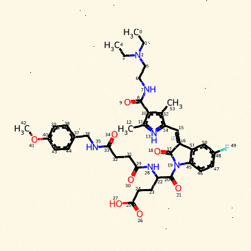 CCN(CC)CCNC(=O)c1c(C)[nH]c(/C=C2\C(=O)N(C(=O)C(CCC(=O)O)NC(=O)CCC(=O)NCc3ccc(OC)cc3)c3ccc(F)cc32)c1C